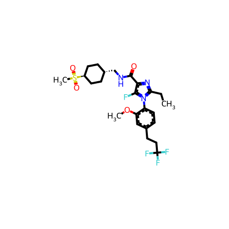 CCc1nc(C(=O)NC[C@H]2CC[C@H](S(C)(=O)=O)CC2)c(F)n1-c1ccc(CCC(F)(F)F)cc1OC